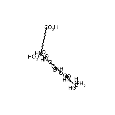 C=C(O)[C@H](CCCCNC(=O)COCCOCCNC(=O)COCCOCCNC(=O)CC[C@H](NC(=O)CCCCCCCCCCCCCCC(=O)O)C(=O)O)NP